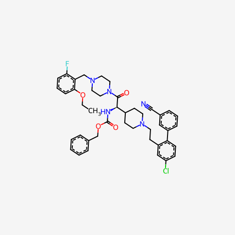 CCOc1cccc(F)c1CN1CCN(C(=O)[C@H](NC(=O)OCc2ccccc2)C2CCN(CCc3cc(Cl)ccc3-c3cccc(C#N)c3)CC2)CC1